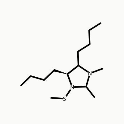 CCCCC1[C@H](CCCC)N(SC)C(C)N1C